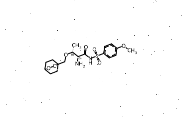 COc1ccc(S(=O)(=O)NC(=O)[C@@H](N)[C@@H](C)OCC23CCC(CC2)OC3)cc1